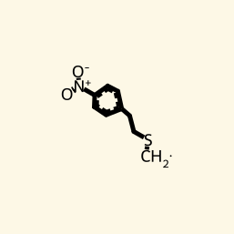 [CH2]SCCc1ccc([N+](=O)[O-])cc1